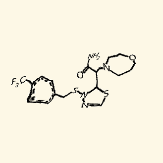 NC(=O)C(C1SC=NN1SCc1ccc(C(F)(F)F)cc1)N1CCOCC1